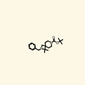 CC(C)(C)OC(=O)N1CCC2(CC1)CN(Cc1ccccc1)C2(C)C